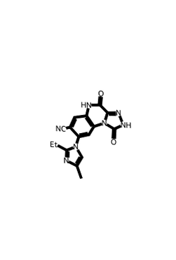 CCc1nc(C)cn1-c1cc2c(cc1C#N)[nH]c(=O)c1n[nH]c(=O)n12